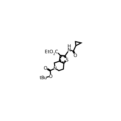 CCOC(=O)c1c(NC(=O)C2CC2)sc2c1CN(C(=O)OC(C)(C)C)CC2